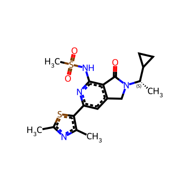 Cc1nc(C)c(-c2cc3c(c(NS(C)(=O)=O)n2)C(=O)N([C@@H](C)C2CC2)C3)s1